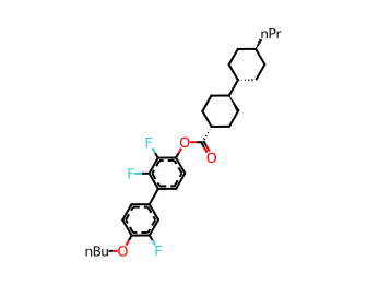 CCCCOc1ccc(-c2ccc(OC(=O)[C@H]3CC[C@H]([C@H]4CC[C@H](CCC)CC4)CC3)c(F)c2F)cc1F